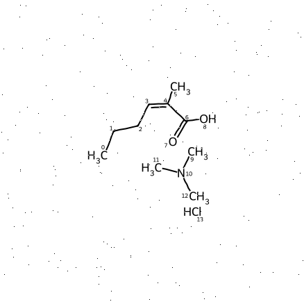 CCCC=C(C)C(=O)O.CN(C)C.Cl